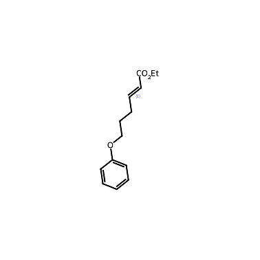 CCOC(=O)/C=C/CCCOc1ccccc1